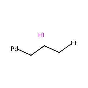 CCCC[CH2][Pd].I